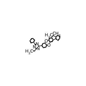 C=Cc1nc(-c2ccccc2)nc(-c2ccc3c(c2)Oc2cc4c(cc2O3)-c2ccccc2C4(C)C)n1